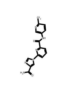 NC(=O)c1cn(-c2cccc(C(=O)Nc3ccc(C(F)(F)F)nc3)n2)cn1